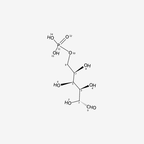 O=C[C@H](O)[C@H](O)[C@@H](O)[C@H](O)COP(=O)(O)O